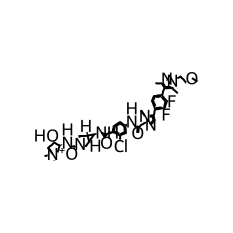 COCCn1nc(C)c(-c2ccc(-c3cnc(C(=O)Nc4ccc(C(=O)N[C@H]5[C@@H]6CN(C(=O)N[C@@H]7C[N+](C)(C)C[C@H]7O)C[C@@H]65)c(Cl)c4)n3C)c(F)c2F)c1C